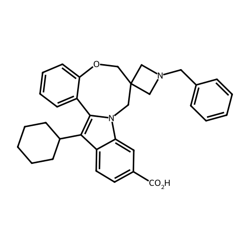 O=C(O)c1ccc2c(C3CCCCC3)c3n(c2c1)CC1(COc2ccccc2-3)CN(Cc2ccccc2)C1